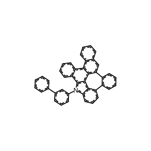 c1ccc(-c2cccc(-n3c4cccc5c4c4c6c(cc7ccccc7c6c6ccccc6c43)-c3ccccc3-5)c2)cc1